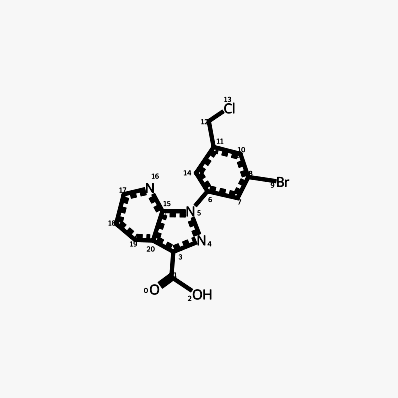 O=C(O)c1nn(-c2cc(Br)cc(CCl)c2)c2ncccc12